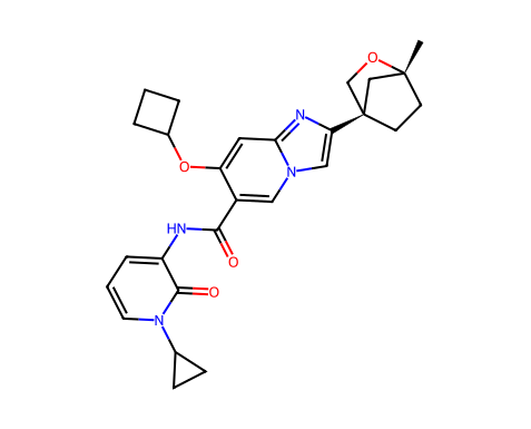 C[C@]12CC[C@](c3cn4cc(C(=O)Nc5cccn(C6CC6)c5=O)c(OC5CCC5)cc4n3)(CO1)C2